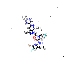 CC(=O)c1nn(CC(=O)N2C[C@@](F)(CF)C[C@H]2C(=O)Nc2nc(Br)c(F)cc2C)c2c(C)nc(-c3cnc(C)nc3)cc12